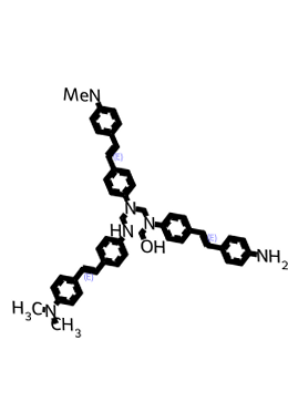 CNc1ccc(/C=C/c2ccc(N(CNc3ccc(/C=C/c4ccc(N(C)C)cc4)cc3)CN(CO)c3ccc(/C=C/c4ccc(N)cc4)cc3)cc2)cc1